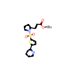 CC(C)(C)OC(=O)C=Cc1cccn1S(=O)(=O)c1ccc(-c2ccccn2)s1